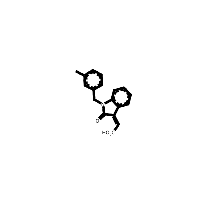 Cc1cccc(CN2C(=O)/C(=C\C(=O)O)c3ccccc32)c1